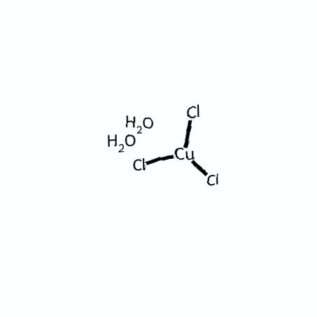 O.O.[Cl][Cu]([Cl])[Cl]